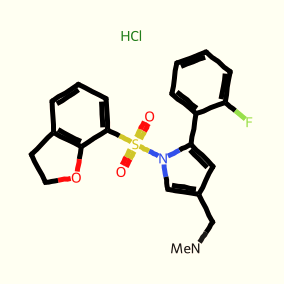 CNCc1cc(-c2ccccc2F)n(S(=O)(=O)c2cccc3c2OCC3)c1.Cl